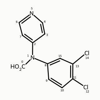 O=C(O)N(c1ccncc1)c1ccc(Cl)c(Cl)c1